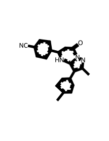 Cc1ccc(-c2c(C)nn3c(=O)cc(-c4ccc(C#N)cc4)[nH]c23)cc1